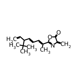 C=CC(/C=C/C=C(\C)C1=NC(=C)C(=O)O1)C(C)(C)C